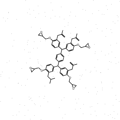 C=C(C)Cc1cc(C(c2ccc(C(c3ccc(OCC4CO4)c(CC(=C)C)c3)c3ccc(OCC4CO4)c(CC(C)C)c3)cc2)c2ccc(OCC3CO3)c(CC(=C)C)c2)ccc1OCC1CO1